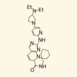 CCN(CC)C1CCN(c2ccc(Nc3ncc4c(n3)N3C(C=C4)C(=O)NCC34CCCCC4)nc2)C1